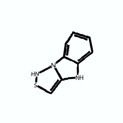 C1=C2Nc3ccccc3N2NS1